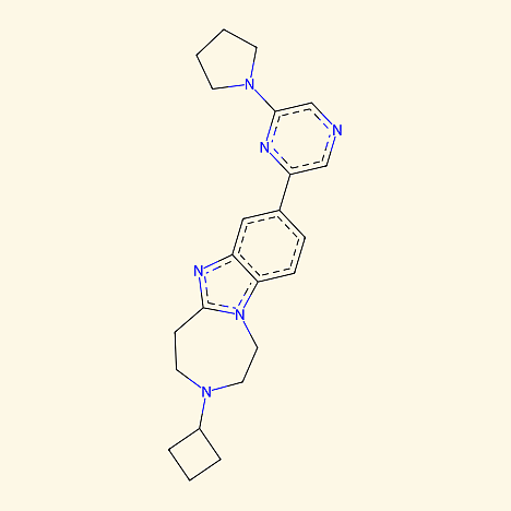 c1cc2c(cc1-c1cncc(N3CCCC3)n1)nc1n2CCN(C2CCC2)CC1